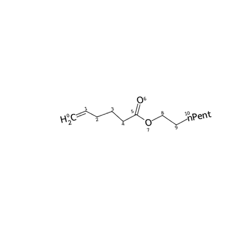 C=CCCCC(=O)OCCCCCCC